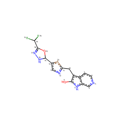 Oc1[nH]c2cnccc2c1Cc1ncc(C2NN=C(C(F)F)O2)s1